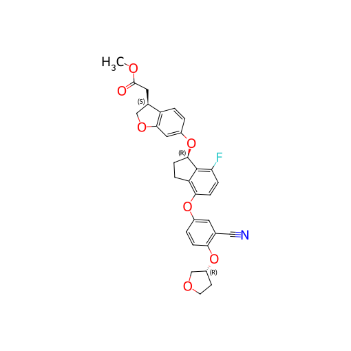 COC(=O)C[C@@H]1COc2cc(O[C@@H]3CCc4c(Oc5ccc(O[C@@H]6CCOC6)c(C#N)c5)ccc(F)c43)ccc21